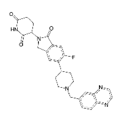 O=C1CCC(N2Cc3cc(C4CCN(Cc5ccc6nccnc6c5)CC4)c(F)cc3C2=O)C(=O)N1